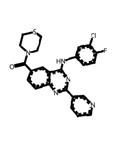 O=C(c1ccc2nc(-c3cccnc3)nc(Nc3ccc(F)c(Cl)c3)c2c1)N1CCSCC1